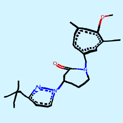 COc1c(C)cc(N2CCC(n3ccc(C(C)(C)C)n3)C2=O)cc1C